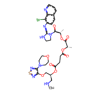 C[C@H](OC(=O)CCC(=O)O[C@@H](CNC(C)(C)C)COc1nsnc1N1CCOCC1)C(=O)O[C@@H](C)C(=O)N1CCN/C1=N/c1ccc2cccnc2c1Br